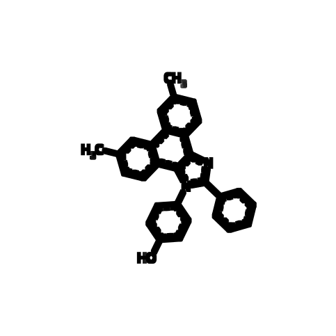 Cc1ccc2c(c1)c1cc(C)ccc1c1c2nc(-c2ccccc2)n1-c1ccc(O)cc1